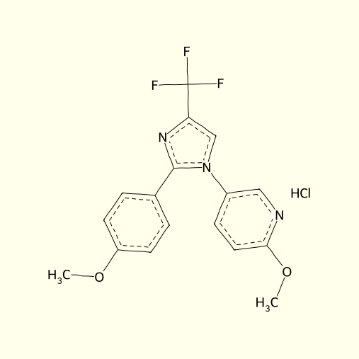 COc1ccc(-c2nc(C(F)(F)F)cn2-c2ccc(OC)nc2)cc1.Cl